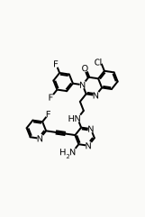 Nc1ncnc(NCCc2nc3cccc(Cl)c3c(=O)n2-c2cc(F)cc(F)c2)c1C#Cc1ncccc1F